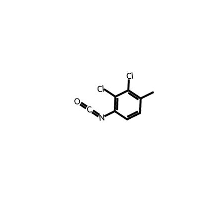 Cc1ccc(N=C=O)c(Cl)c1Cl